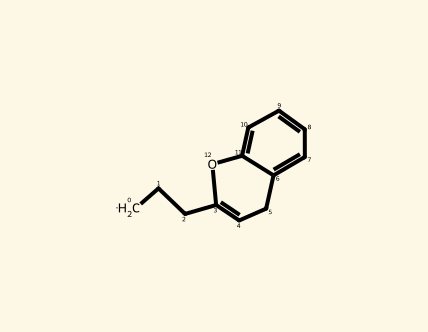 [CH2]CCC1=CCc2ccccc2O1